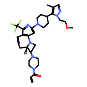 C=CC(=O)N1CCN([C@@H]2CN3c4cc(N5CCC(c6c(C)cnn6CCOC)CC5)nc(C(F)(F)F)c4C=CC[C@@H]23)CC1